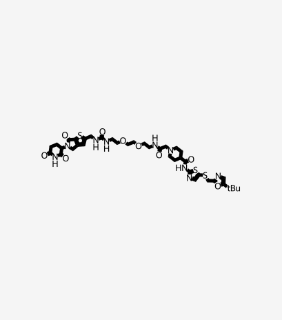 CC(C)(C)c1cnc(CSc2cnc(NC(=O)C3CCN(CC(=O)NCCOCCOCCNC(=O)NCc4cc5c(s4)C(=O)N(C4CCC(=O)NC4=O)C5)CC3)s2)o1